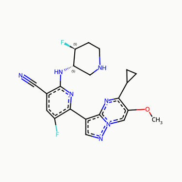 COc1cn2ncc(-c3nc(N[C@H]4CNCC[C@@H]4F)c(C#N)cc3F)c2nc1C1CC1